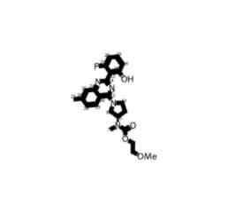 COCCOC(=O)N(C)[C@@H]1CCN(c2nc(-c3c(O)cccc3F)nc3cc(C)ccc23)C1